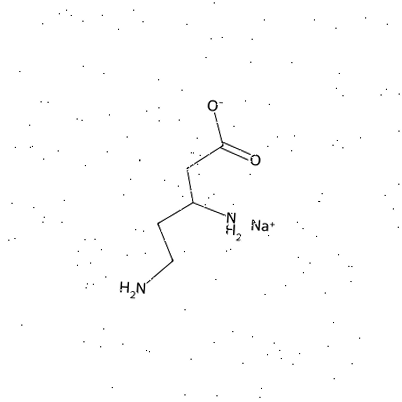 NCCC(N)CC(=O)[O-].[Na+]